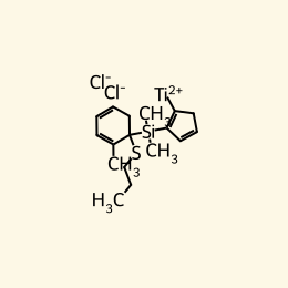 CCCSC1([Si](C)(C)C2=[C]([Ti+2])CC=C2)CC=CC=C1C.[Cl-].[Cl-]